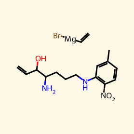 C=CC(O)C(N)CCCNc1cc(C)ccc1[N+](=O)[O-].C=[CH][Mg][Br]